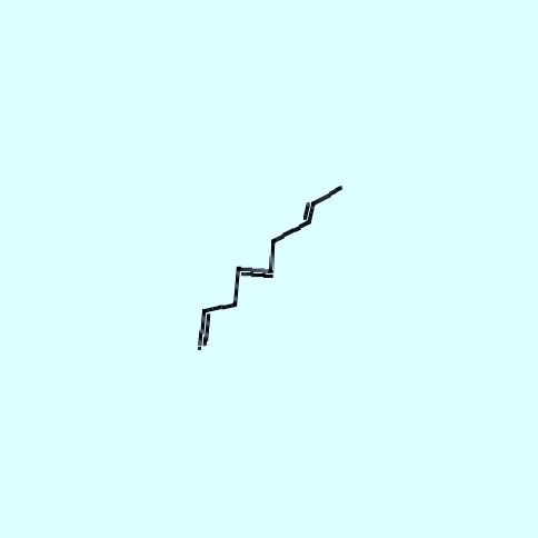 [CH]=CCC=CCC=CC